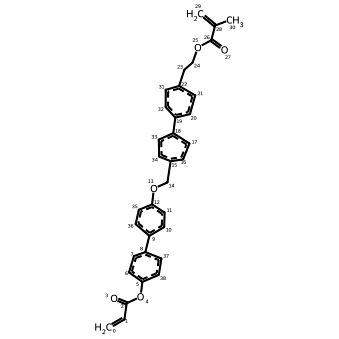 C=CC(=O)Oc1ccc(-c2ccc(OCc3ccc(-c4ccc(CCOC(=O)C(=C)C)cc4)cc3)cc2)cc1